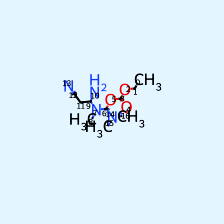 CCOC(=O)OC(N(C)C(N)CC#N)=[N+](C)C